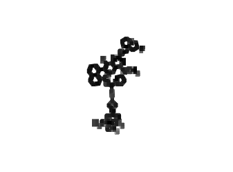 CN(c1nc(OC[C@@]23CCCN2C[C@H](F)C3)nc2c(F)c(-c3cccc4cccc(Cl)c34)ncc12)[C@@H]1CCN(C(=O)C#CC2CN(C(=O)OC(C)(C)C)C2)C1